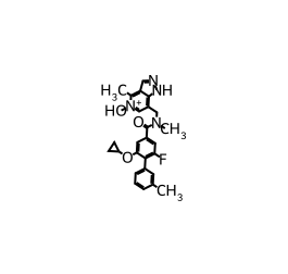 Cc1cccc(-c2c(F)cc(C(=O)N(C)Cc3c[n+](O)c(C)c4cn[nH]c34)cc2OC2CC2)c1